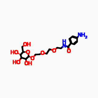 Nc1ccc(C(=O)NCCOCCOCCO[C@H]2OC(CO)[C@@H](O)C(O)C2O)cc1